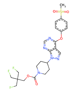 CS(=O)(=O)c1ccc(Oc2ncnc3c2cnn3C2CCN(C(=O)OCC(CF)(CF)CF)CC2)cc1